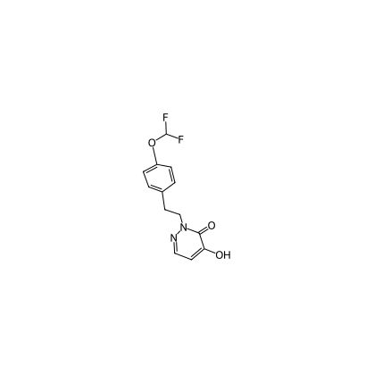 O=c1c(O)ccnn1CCc1ccc(OC(F)F)cc1